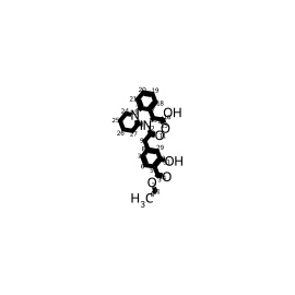 CCOC(=O)c1ccc(CC(=O)NC(C(=O)O)c2ccccc2N2CCCCC2)cc1O